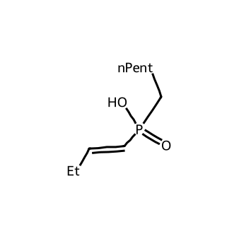 CCC=CP(=O)(O)CCCCCC